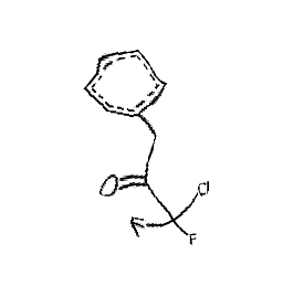 O=C(Cc1ccccc1)C(F)(F)Cl